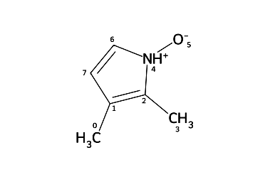 CC1=C(C)[NH+]([O-])C=C1